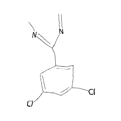 C=N/C(=N\C)c1cc(Cl)cc(Cl)c1